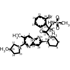 Cc1cn2nc([C@@H]3CCCCN3C(=O)[C@@](C)(NS(C)(=O)=O)c3ccccc3Br)cc2nc1N1CC[C@H](C)C1